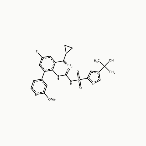 C=C(c1cc(F)cc(-c2ccnc(OC)c2)c1NC(=O)NS(=O)(=O)c1cc(C(C)(C)O)co1)C1CC1